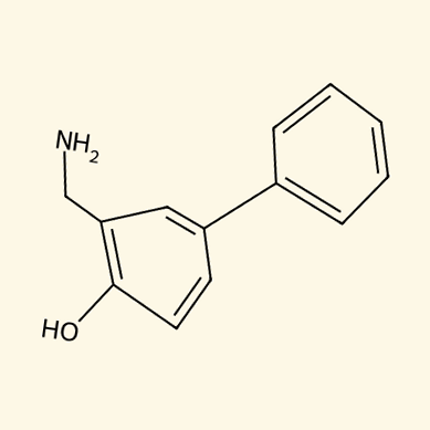 NCc1cc(-c2ccccc2)ccc1O